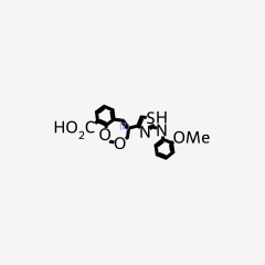 COc1ccccc1Nc1nc(/C2=C/c3cccc(C(=O)O)c3OCOC2)cs1